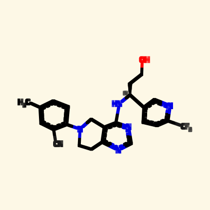 Cc1ccc(N2CCc3ncnc(N[C@@H](CCO)c4ccc(C(F)(F)F)nc4)c3C2)c(C#N)c1